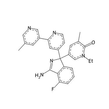 CCn1cc(C2(c3ccnc(-c4cncc(C)c4)c3)N=C(N)c3c(F)cccc32)cc(C)c1=O